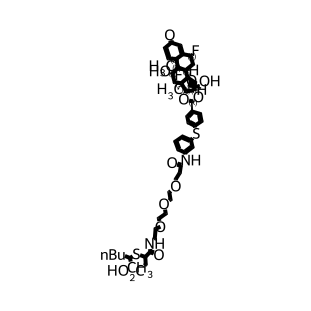 CCCCC(C)SC(CC(=O)O)C(=O)NCCOCCOCCOCCC(=O)Nc1cccc(Sc2ccc([C@@H]3O[C@@H]4CC5[C@@H]6C[C@H](F)C7=CC(=O)C=C[C@]7(C)[C@@]6(F)[C@@H](O)C[C@]5(C)[C@]4(C(=O)CO)O3)cc2)c1